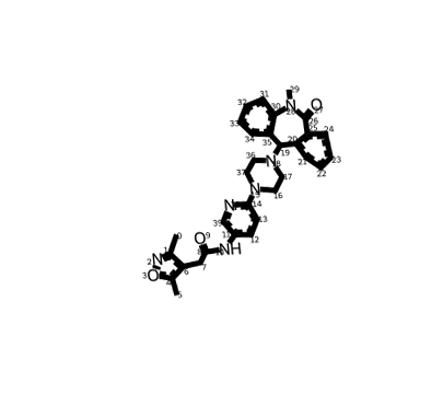 Cc1noc(C)c1CC(=O)Nc1ccc(N2CCN(C3c4ccccc4C(=O)N(C)c4ccccc43)CC2)nc1